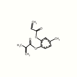 C=CC(=O)Oc1cc(C)ccc1OC(=O)C(=C)C